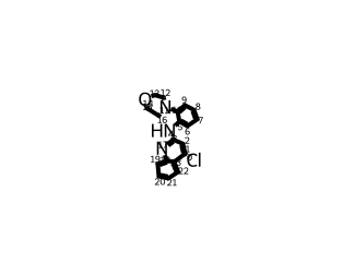 Clc1cc(Nc2ccccc2N2CCOCC2)nc2ccccc12